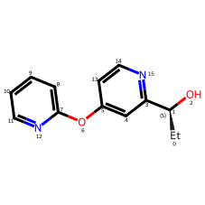 CC[C@H](O)c1cc(Oc2ccccn2)ccn1